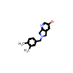 Cc1ccc(CN2Cc3cc(Br)cnc3C2)cc1C